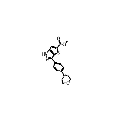 COC(=O)c1cc2[nH]nc(-c3ccc(N4CCOCC4)cc3)c2s1